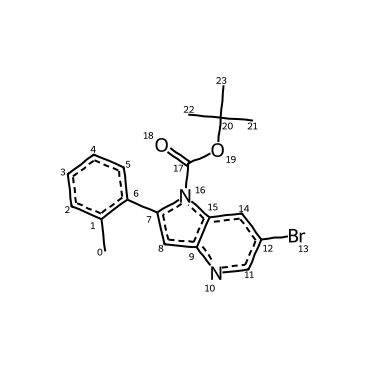 Cc1ccccc1-c1cc2ncc(Br)cc2n1C(=O)OC(C)(C)C